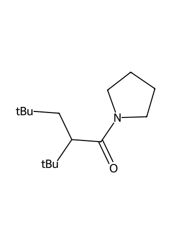 CC(C)(C)CC(C(=O)N1CCCC1)C(C)(C)C